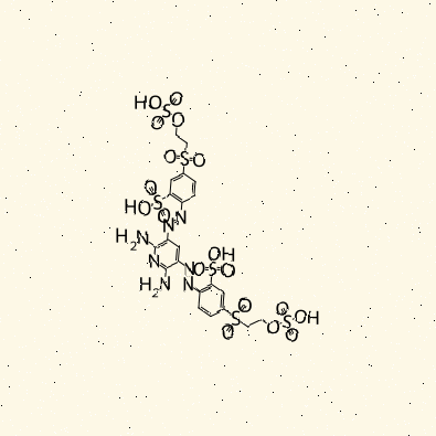 Nc1nc(N)c(/N=N/c2ccc(S(=O)(=O)CCOS(=O)(=O)O)cc2S(=O)(=O)O)cc1/N=N/c1ccc(S(=O)(=O)CCOS(=O)(=O)O)cc1S(=O)(=O)O